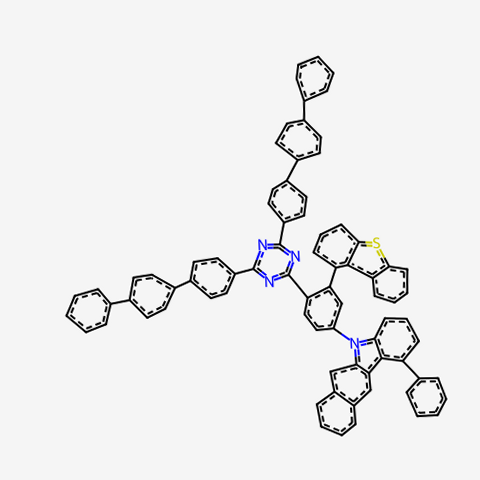 c1ccc(-c2ccc(-c3ccc(-c4nc(-c5ccc(-c6ccc(-c7ccccc7)cc6)cc5)nc(-c5ccc(-n6c7cc8ccccc8cc7c7c(-c8ccccc8)cccc76)cc5-c5cccc6sc7ccccc7c56)n4)cc3)cc2)cc1